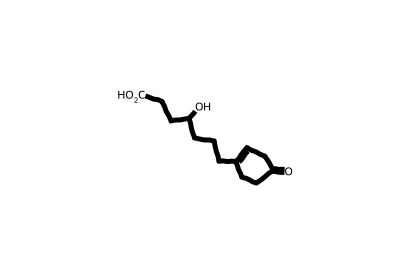 O=C(O)CCC(O)CCCC1=CCC(=O)CC1